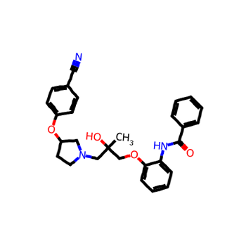 CC(O)(COc1ccccc1NC(=O)c1ccccc1)CN1CCC(Oc2ccc(C#N)cc2)C1